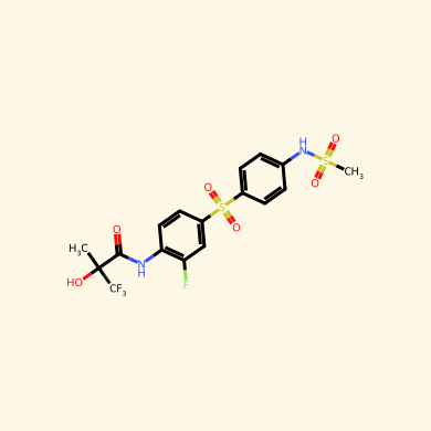 CC(O)(C(=O)Nc1ccc(S(=O)(=O)c2ccc(NS(C)(=O)=O)cc2)cc1F)C(F)(F)F